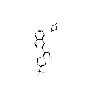 OC1CC(Oc2cncc3ccc(-c4cnn5cc(C(F)(F)F)ccc45)cc23)C1